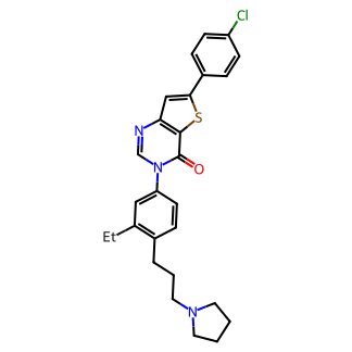 CCc1cc(-n2cnc3cc(-c4ccc(Cl)cc4)sc3c2=O)ccc1CCCN1CCCC1